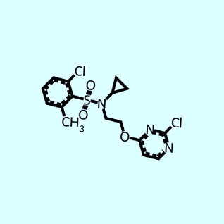 Cc1cccc(Cl)c1S(=O)(=O)N(CCOc1ccnc(Cl)n1)C1CC1